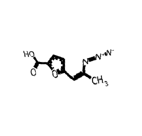 C/C(=C/c1ccc(C(=O)O)o1)N=[N+]=[N-]